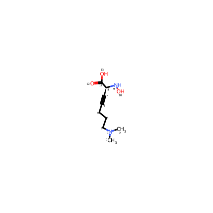 CN(C)CCCC#C[C@H](NO)C(=O)O